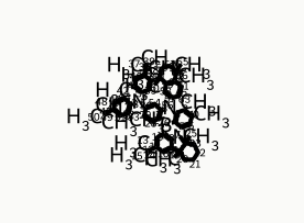 Cc1cc2c3c(c1)N1c4c(cc(C(C)(C)C)cc4C4(C)CCCCC14C)B3c1ccc(N(c3ccc(C(C)(C)C)cc3C)c3ccc(C(C)(C)C)cc3C)cc1N2c1cc2c(cc1C)C(C)(C)CCC2(C)C